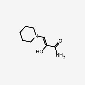 NC(=O)C(O)=CN1CCCCC1